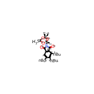 CCCCc1cc2c(c(CCCC)c1CCCC)C(=O)N([Si]1(C)O[SiH2]O[Si](C)(C)O1)C2=O